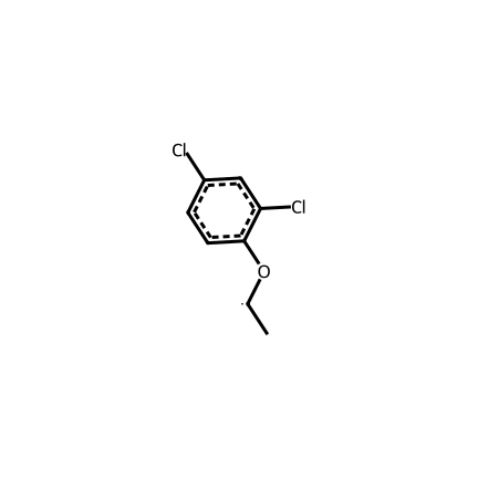 C[CH]Oc1ccc(Cl)cc1Cl